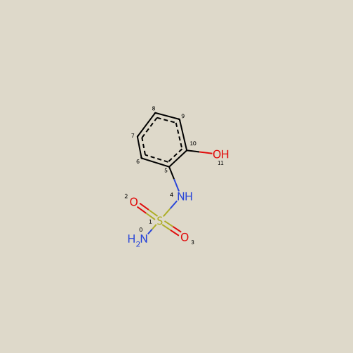 NS(=O)(=O)Nc1ccccc1O